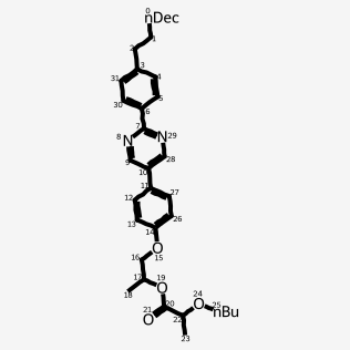 CCCCCCCCCCCCc1ccc(-c2ncc(-c3ccc(OCC(C)OC(=O)C(C)OCCCC)cc3)cn2)cc1